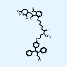 CN(CCOc1ccc(C(=C(CCCl)c2ccccc2)c2ccccc2)cc1)C(=O)CCCCSc1cccc2c1C(=O)N(C1CCC(=O)NC1=O)C2=O